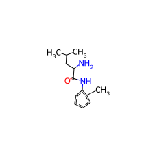 Cc1ccccc1NC(=O)C(N)CC(C)C